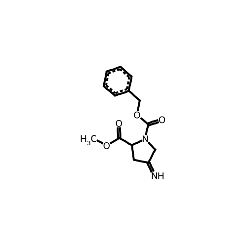 COC(=O)C1CC(=N)CN1C(=O)OCc1ccccc1